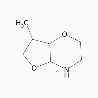 CC1COC2NCCOC12